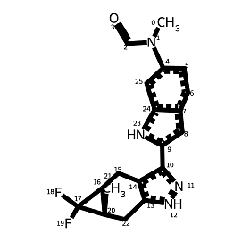 CN(C=O)c1ccc2cc(-c3n[nH]c4c3CC3C(F)(F)C3(C)C4)[nH]c2c1